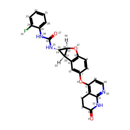 O=C1CCc2c(Oc3ccc4c(c3)[C@H]3[C@H](NC(=O)Nc5ccccc5F)[C@H]3O4)ccnc2N1